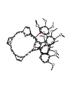 COc1ccc(-c2c(-c3ccc(OC)c(OC)c3OC)c3c(-c4ccc(OC)c(OC)c4OC)c4nc(cc5ccc(cc6nc(cc2n3-c2ccc(OC)c(OC)c2OC)C=C6)[nH]5)C=C4)c(OC)c1OC